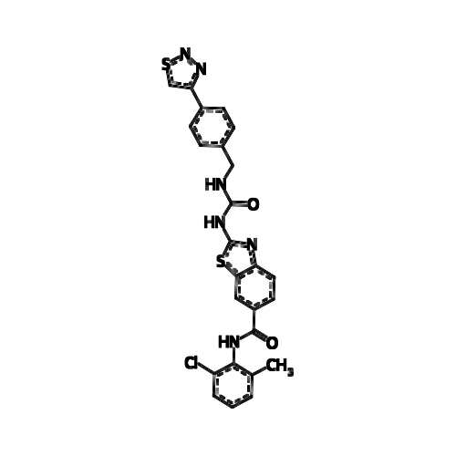 Cc1cccc(Cl)c1NC(=O)c1ccc2nc(NC(=O)NCc3ccc(-c4csnn4)cc3)sc2c1